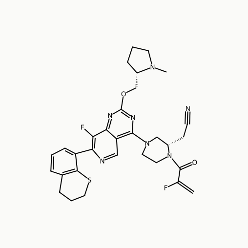 C=C(F)C(=O)N1CCN(c2nc(OC[C@@H]3CCCN3C)nc3c(F)c(-c4cccc5c4SCCC5)ncc23)C[C@@H]1CC#N